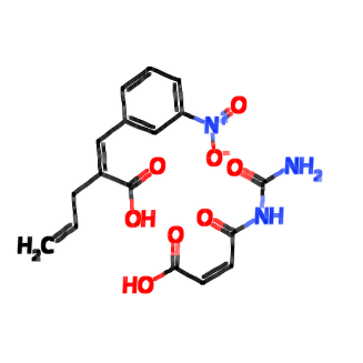 C=CC/C(=C/c1cccc([N+](=O)[O-])c1)C(=O)O.NC(=O)NC(=O)/C=C\C(=O)O